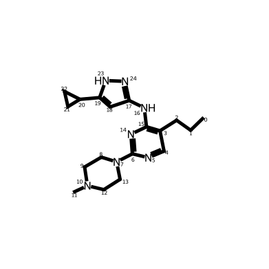 CCCc1cnc(N2CCN(C)CC2)nc1Nc1cc(C2CC2)[nH]n1